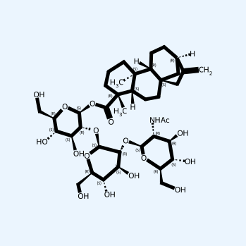 C=C1C[C@@]23CC[C@H]4[C@@](C)(CCC[C@@]4(C)C(=O)O[C@@H]4O[C@H](CO)[C@@H](O)[C@H](O)[C@H]4O[C@@H]4O[C@H](CO)[C@@H](O)[C@H](O)[C@H]4O[C@@H]4O[C@H](CO)[C@@H](O)[C@H](O)[C@H]4NC(C)=O)[C@@H]2CC[C@@H]1C3